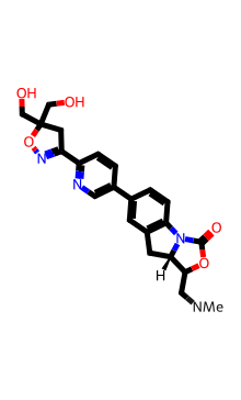 CNCC1OC(=O)N2c3ccc(-c4ccc(C5=NOC(CO)(CO)C5)nc4)cc3C[C@@H]12